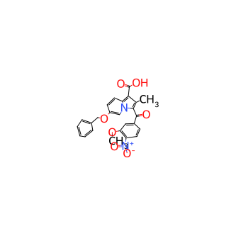 COc1cc(C(=O)c2c(C)c(C(=O)O)c3ccc(OCc4ccccc4)cn23)ccc1[N+](=O)[O-]